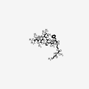 CC[C@H](C)[C@@H]([C@@H](CC(=O)N1CCC[C@H]1[C@H](OC)[C@@H](C)C(=O)N[C@@H](Cc1ccccc1)C(=O)NCCCOC(=O)[C@H](C)NC(=O)CCN)OC)N(C)C(=O)[C@@H](NC(=O)[C@@H](NC)C(C)C)C(C)C